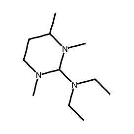 CCN(CC)C1N(C)CCC(C)N1C